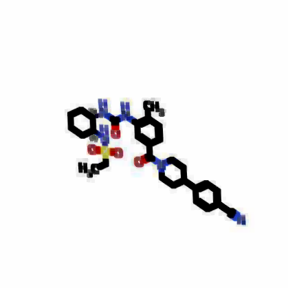 CCS(=O)(=O)N[C@H]1CCCC[C@@H]1NC(=O)Nc1cc(C(=O)N2CCC(c3ccc(C#N)cc3)CC2)ccc1C